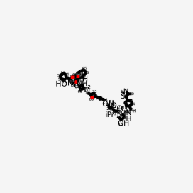 Cc1ncsc1-c1ccc([C@H](C)NC(=O)[C@@H]2C[C@@H](O)CN2C(=O)[C@@H](c2cc(OCC#CC34CC(COC5CC(Oc6cc(N7C8CC[C@@H]7CN(c7cc(-c9ccccc9O)nnc7N)C8)ccn6)C5)(C3)C4)no2)C(C)C)cc1